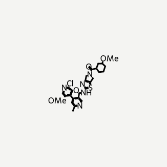 COc1cnc(Cl)cc1-c1cc(C)ncc1C(=O)Nc1nc2c(s1)CN(C(=O)C1CCCC(OC)C1)C2